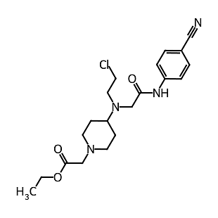 CCOC(=O)CN1CCC(N(CCCl)CC(=O)Nc2ccc(C#N)cc2)CC1